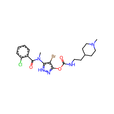 CN1CCC(CCNC(=O)Oc2n[nH]c(N(C)C(=O)c3ccccc3Cl)c2Br)CC1